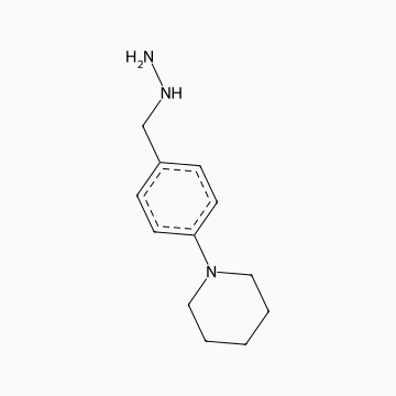 NNCc1ccc(N2CCCCC2)cc1